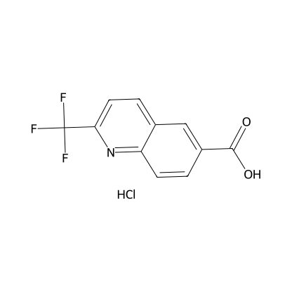 Cl.O=C(O)c1ccc2nc(C(F)(F)F)ccc2c1